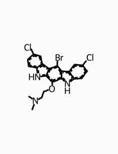 CN(C)CCOc1c2[nH]c3ccc(Cl)cc3c2c(Br)c2c1[nH]c1ccc(Cl)cc12